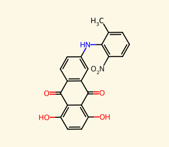 Cc1cccc([N+](=O)[O-])c1Nc1ccc2c(c1)C(=O)c1c(O)ccc(O)c1C2=O